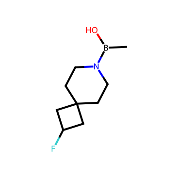 CB(O)N1CCC2(CC1)CC(F)C2